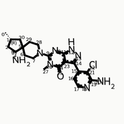 C[C@H]1C[C@@H](N)C2(CCN(c3nc4[nH]nc(-c5ccnc(N)c5Cl)c4c(=O)n3C)CC2)C1